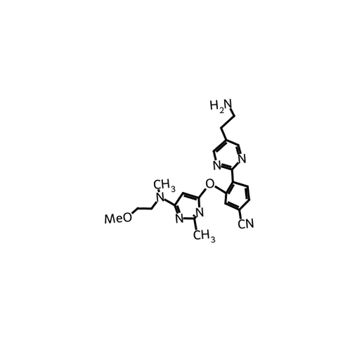 COCCN(C)c1cc(Oc2cc(C#N)ccc2-c2ncc(CCN)cn2)nc(C)n1